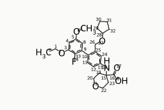 CCOc1cc(OC)cc(-c2ccc(NC3(C(=O)O)CCOCC3)cc2COC2CCCC2)c1F